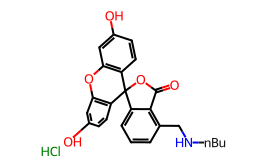 CCCCNCc1cccc2c1C(=O)OC21c2ccc(O)cc2Oc2cc(O)ccc21.Cl